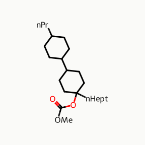 CCCCCCCC1(OC(=O)OC)CCC(C2CCC(CCC)CC2)CC1